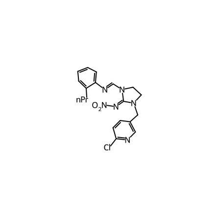 CCCc1ccccc1N=CN1CCN(Cc2ccc(Cl)nc2)C1=N[N+](=O)[O-]